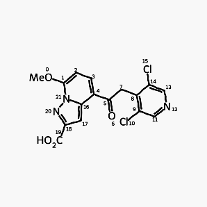 COc1ccc(C(=O)Cc2c(Cl)cncc2Cl)c2cc(C(=O)O)nn12